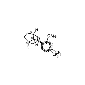 COc1cc(C(F)(F)F)ccc1O[C@@H]1[C@@H]2CC[C@H]1CN(c1ccc(C(F)(F)F)cn1)C2